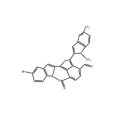 Cc1ccc2c(c1)cc(-c1sc(-c3cc4cc(Br)ccc4n3C)c3c(C=O)ccc(C=O)c13)n2C